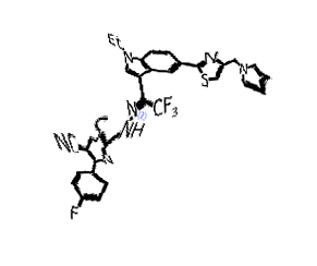 CCn1cc(/C(=N/Nc2nc(-c3ccc(F)cc3)c(C#N)s2)C(F)(F)F)c2cc(-c3nc(Cn4cccc4)cs3)ccc21